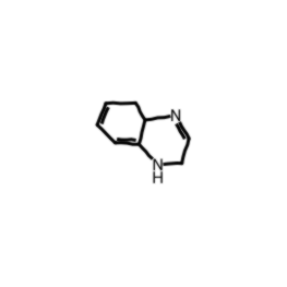 C1=CCC2N=CCNC2=C1